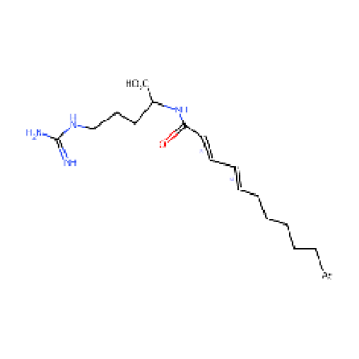 CC(=O)CCCCC/C=C/C=C/C(=O)NC(CCCNC(=N)N)C(=O)O